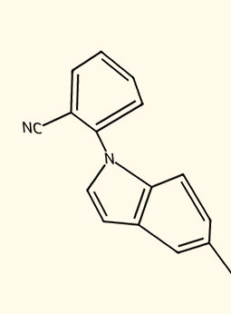 N#Cc1ccccc1-n1ccc2cc(Cl)ccc21